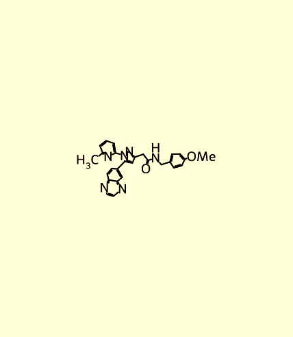 COc1ccc(CNC(=O)Cc2cc(-c3ccc4nccnc4c3)n(-c3cccc(C)n3)n2)cc1